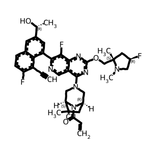 C#Cc1c(F)ccc2cc([C@@H](C)O)cc(-c3ncc4c(N5C[C@H]6CC(C)(C#N)[C@@H](C5)N6C(=O)C=C)nc(OC[C@]5(C)C[C@@H](F)CN5C)nc4c3F)c12